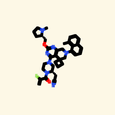 C=C(F)C(=O)N1CCN(c2nc(OC[C@@H]3CCCN3C)nc3c2C2(CCC2)CN(c2cccc4cccc(C)c24)C3)C[C@@H]1CC#N